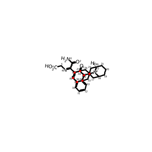 NC(=O)C(=NCC(=O)O)c1nc2ccccc2n(C2CC3CCC[C@H](C2)N3C2CC3CCCC(C3)C2)c1=O